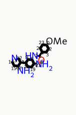 COc1ccc(C(=O)Nc2cc(-c3cnccc3N)ccc2N)cc1